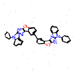 c1ccc(-n2c3ccccc3n3c4c(nc23)oc2ccc(-c3ccc5oc6nc7n(-c8ccccc8)c8ccccc8n7c6c5c3)cc24)cc1